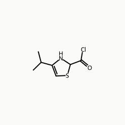 CC(C)C1=CSC(C(=O)Cl)N1